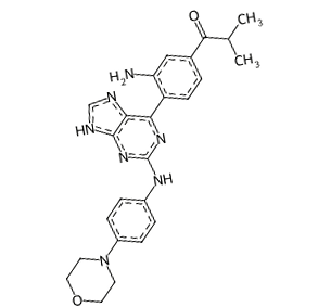 CC(C)C(=O)c1ccc(-c2nc(Nc3ccc(N4CCOCC4)cc3)nc3[nH]cnc23)c(N)c1